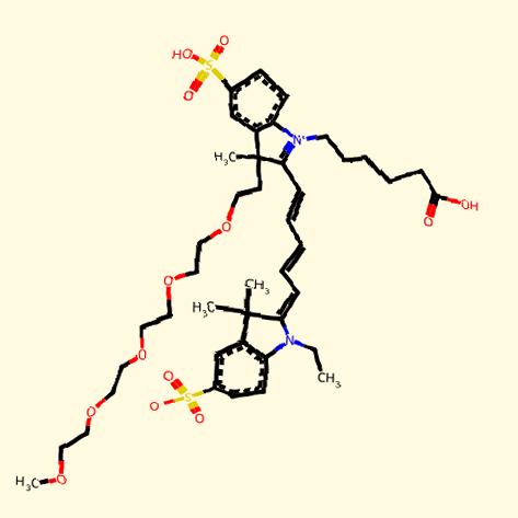 CCN1/C(=C/C=C/C=C/C2=[N+](CCCCCC(=O)O)c3ccc(S(=O)(=O)O)cc3C2(C)CCOCCOCCOCCOCCOC)C(C)(C)c2cc(S(=O)(=O)[O-])ccc21